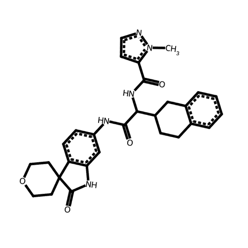 Cn1nccc1C(=O)NC(C(=O)Nc1ccc2c(c1)NC(=O)C21CCOCC1)C1CCc2ccccc2C1